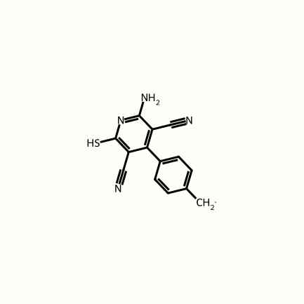 [CH2]c1ccc(-c2c(C#N)c(N)nc(S)c2C#N)cc1